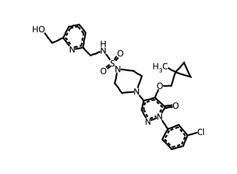 CC1(COc2c(N3CCN(S(=O)(=O)NCc4cccc(CO)n4)CC3)cnn(-c3cccc(Cl)c3)c2=O)CC1